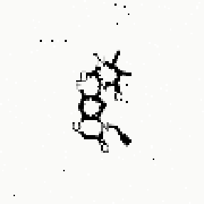 C#CCN1C(=O)COc2cc(F)c(-n3c(=O)c(C)c(C)n(C)c3=O)cc21